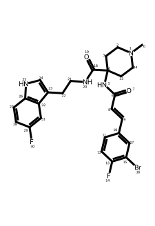 CN1CCC(NC(=O)C=Cc2ccc(F)c(Br)c2)(C(=O)NCCc2c[nH]c3ccc(F)cc23)CC1